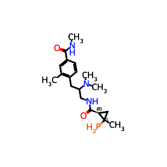 CNC(=O)c1ccc(CC(CNC(=O)[C@H]2C[C@]2(C)P)N(C)C)c(C)c1